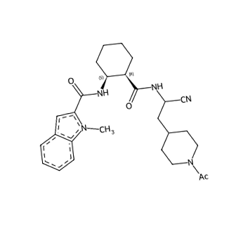 CC(=O)N1CCC(CC(C#N)NC(=O)[C@@H]2CCCC[C@@H]2NC(=O)c2cc3ccccc3n2C)CC1